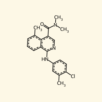 Cc1cc(Nc2ncc(C(=O)N(C)C)c3c(C)cccc23)ccc1Cl